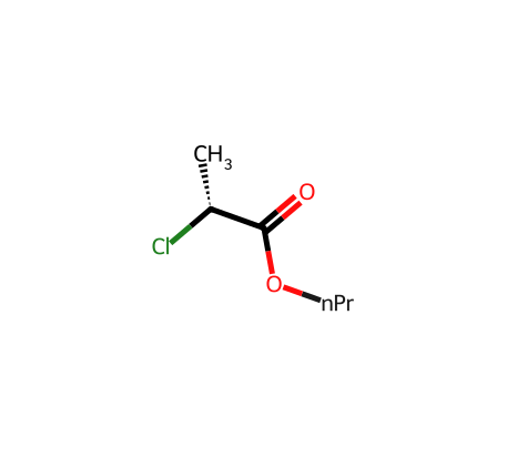 CCCOC(=O)[C@@H](C)Cl